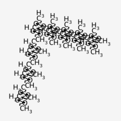 CCC(C)(S(=O)(=O)CC)S(=O)(=O)CC.CCC(C)(S(=O)(=O)CC)S(=O)(=O)CC.CCC(C)(S(=O)(=O)CC)S(=O)(=O)CC.CCC(C)(S(=O)(=O)CC)S(=O)(=O)CC.CCC(C)(S(=O)(=O)CC)S(=O)(=O)CC.CCC(C)(S(=O)(=O)CC)S(=O)(=O)CC.CCC(C)(S(=O)(=O)CC)S(=O)(=O)CC.CCC(C)(S(=O)(=O)CC)S(=O)(=O)CC